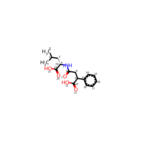 CC(C)C[C@H](NC(=O)CC(C(=O)O)c1ccccc1)C(=O)O